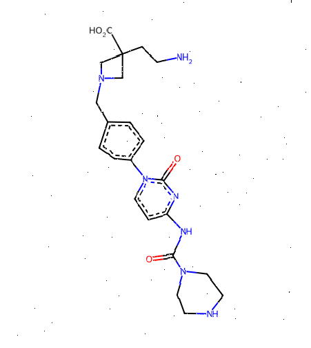 NCCC1(C(=O)O)CN(Cc2ccc(-n3ccc(NC(=O)N4CCNCC4)nc3=O)cc2)C1